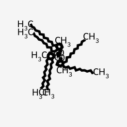 CCCCCCCCCCCCc1c(C)ccc(OP(=O)(Oc2ccc(C)c(CCCCCCCCCCCC)c2CCCCCCCCCCCC)Oc2ccc(C)c(CCCCCCCCCCCC)c2CCCCCCCCCCCC)c1CCCCCCCCCCCC